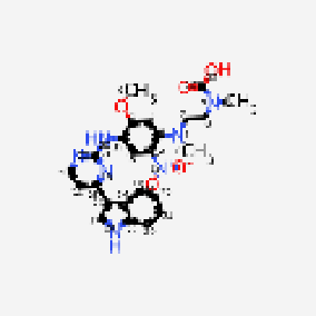 COc1cc(N(C)CCN(C)C(=O)O)c([N+](=O)[O-])cc1Nc1nccc(-c2c[nH]c3ccccc23)n1